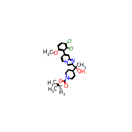 COc1ccc(Cl)c(Cl)c1-c1ccn2cc(C(C)(O)C3CCN(C(=O)OC(C)(C)C)CC3)nc2c1